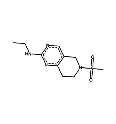 CCNc1ncc2c(n1)CCN(S(C)(=O)=O)C2